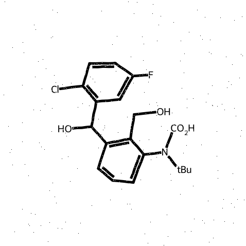 CC(C)(C)N(C(=O)O)c1cccc(C(O)c2cc(F)ccc2Cl)c1CO